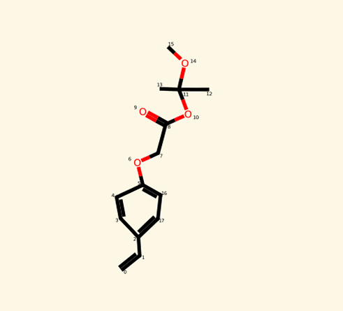 C=Cc1ccc(OCC(=O)OC(C)(C)OC)cc1